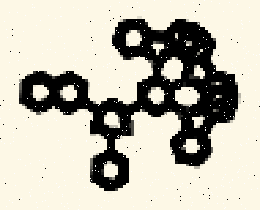 c1ccc(-c2nc(-c3cc(-n4c5ccccc5c5ccccc54)c(-n4c5ccccc5c5ccccc54)c(-n4c5ccccc5c5ccccc54)c3)cc(-c3ccc4ccccc4c3)n2)cc1